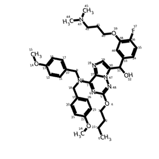 CCCCOc1nc(N(Cc2ccc(OC)cc2)Cc2ccc(OC)cc2)c2ncc(C(O)c3ccc(F)c(OCCCN(C)C)c3)n2n1